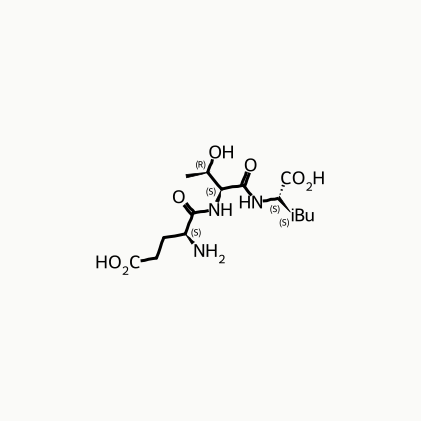 CC[C@H](C)[C@H](NC(=O)[C@@H](NC(=O)[C@@H](N)CCC(=O)O)[C@@H](C)O)C(=O)O